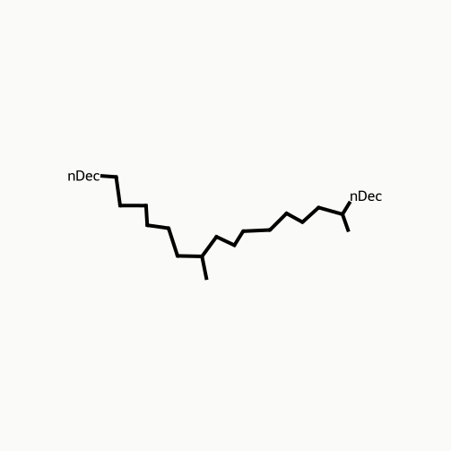 CCCCCCCCCCCCCCCCC(C)CCCCCCCC(C)CCCCCCCCCC